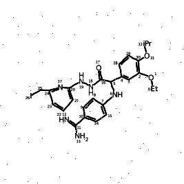 CCOc1cc(C(Nc2ccc(C(=N)N)cc2)C(=O)NNc2cccc(CI)n2)ccc1OC(C)C